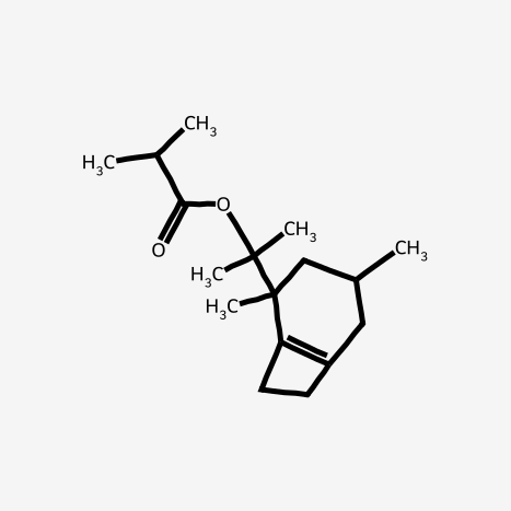 CC1CC2=C(CC2)C(C)(C(C)(C)OC(=O)C(C)C)C1